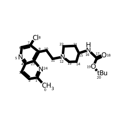 Cc1ccc2ncc(Cl)c(CCN3CCC(NC(=O)OC(C)(C)C)CC3)c2n1